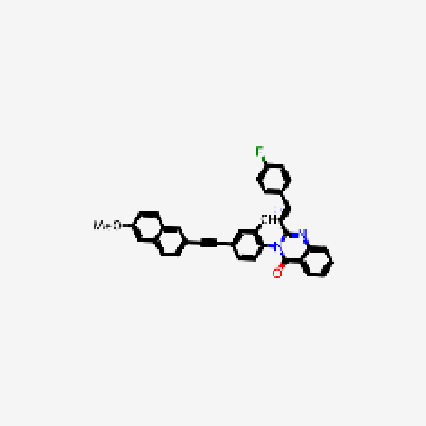 COc1ccc2cc(C#Cc3ccc(-n4c(/C=C/c5ccc(F)cc5)nc5ccccc5c4=O)c(C)c3)ccc2c1